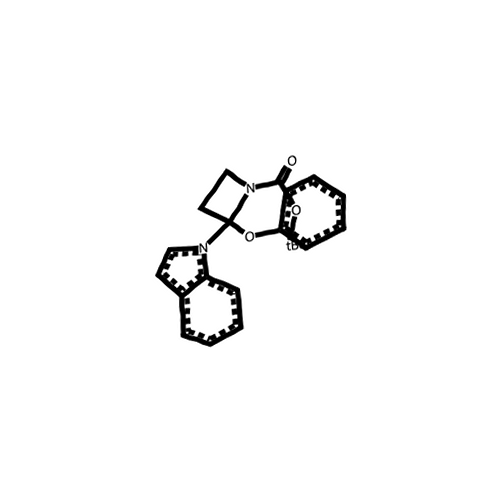 CC(C)(C)OC(=O)N1CCC1(Oc1ccccc1)n1ccc2ccccc21